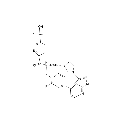 CC(=O)N[C@@H]1CCN(c2n[nH]c3nccc(-c4ccc(CNC(=O)c5ccc(C(C)(C)O)cn5)c(F)c4)c23)C1